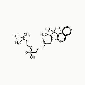 CC1=[N+](CC(=O)OCCP(=O)(O)OCC[N+](C)(C)C)c2ccc3ccccc3c2C1(C)C